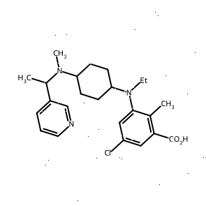 CCN(c1cc(Cl)cc(C(=O)O)c1C)C1CCC(N(C)C(C)c2cccnc2)CC1